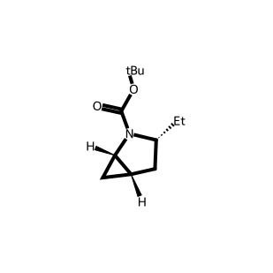 CC[C@@H]1C[C@@H]2C[C@@H]2N1C(=O)OC(C)(C)C